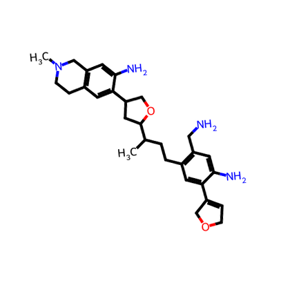 CC(CCc1cc(C2=CCOC2)c(N)cc1CN)C1CC(c2cc3c(cc2N)CN(C)CC3)CO1